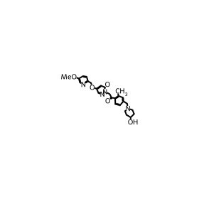 COc1ccc(COc2cnn(CC(=O)c3ccc(CN4CCC(O)CC4)cc3C)c(=O)c2)nc1